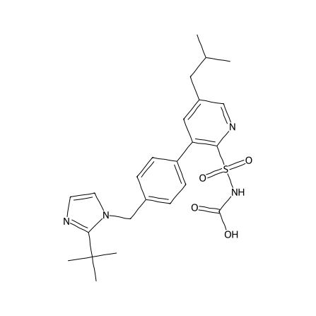 CC(C)Cc1cnc(S(=O)(=O)NC(=O)O)c(-c2ccc(Cn3ccnc3C(C)(C)C)cc2)c1